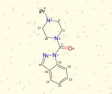 CC(C)N1CCN(C(=O)n2ncc3ccccc32)CC1